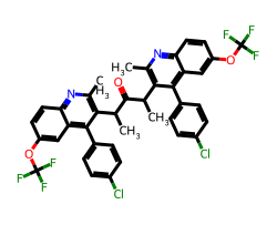 Cc1nc2ccc(OC(F)(F)F)cc2c(-c2ccc(Cl)cc2)c1C(C)C(=O)C(C)c1c(C)nc2ccc(OC(F)(F)F)cc2c1-c1ccc(Cl)cc1